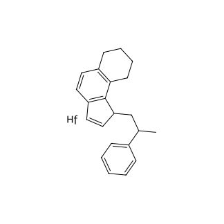 CC(CC1C=Cc2ccc3c(c21)CCCC3)c1ccccc1.[Hf]